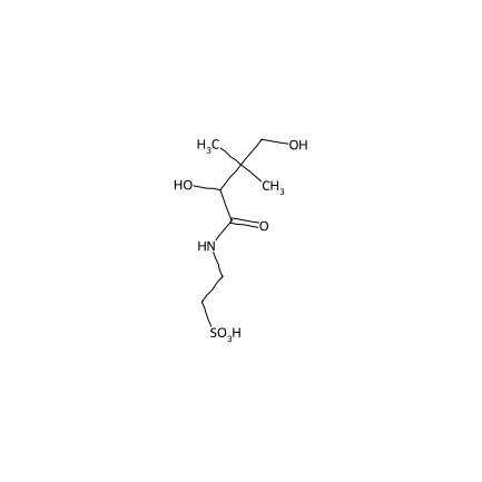 CC(C)(CO)C(O)C(=O)NCCS(=O)(=O)O